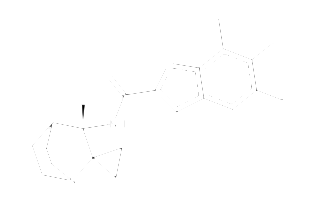 Cc1c(F)c(F)cc2cc(C(=O)N[C@H]3C4CCN(CC4)C34CC4)sc12